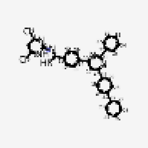 N=C(/N=c1/nc(Cl)cc(Cl)[nH]1)c1ccc(-c2cc(-c3ccc(-c4ccccc4)cc3)nc(-c3ccccc3)n2)cc1